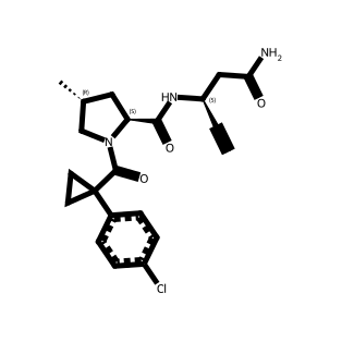 C#C[C@H](CC(N)=O)NC(=O)[C@@H]1C[C@@H](C)CN1C(=O)C1(c2ccc(Cl)cc2)CC1